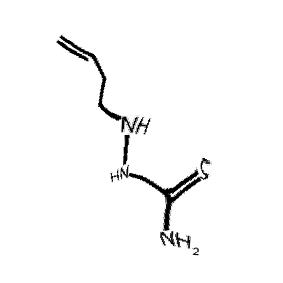 C=CCNNC(N)=S